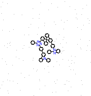 c1ccc(-c2nc(-c3ccc(-c4ccc5c(c4)c4ccccc4n5-c4ccccc4)cc3)nc(-c3cccc4c3-c3ccccc3C43c4ccccc4-c4ccc(-c5ccc(-n6c(-c7ccccc7)nc7ccccc76)cc5)cc43)n2)cc1